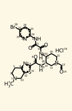 CN1CCc2nc(C(=O)N[C@@H]3CN(C=O)CC[C@@H]3NC(=O)C(=O)Nc3ccc(Br)cn3)sc2C1.Cl